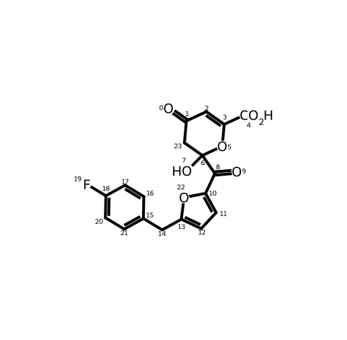 O=C1C=C(C(=O)O)OC(O)(C(=O)c2ccc(Cc3ccc(F)cc3)o2)C1